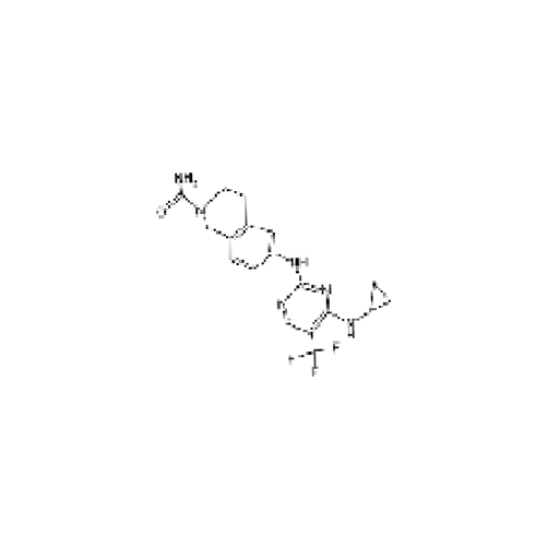 NC(=O)N1CCc2cc(Nc3ncc(C(F)(F)F)c(NC4CC4)n3)ccc2C1